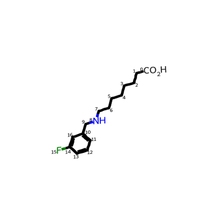 O=C(O)CCCCCCCNCc1cccc(F)c1